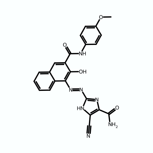 COc1ccc(NC(=O)c2cc3ccccc3c(/N=N/c3nc(C(N)=O)c(C#N)[nH]3)c2O)cc1